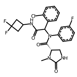 CN1C(=O)NC[C@H]1C(=O)N(c1cccc(F)c1)C(C(=O)NC1CC(F)(F)C1)c1ccccc1Cl